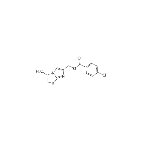 Cc1csc2nc(COC(=O)c3ccc(Cl)cc3)cn12